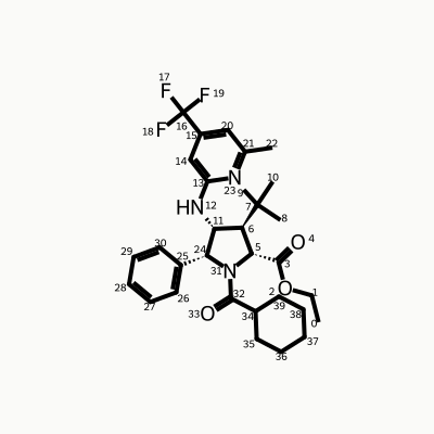 CCOC(=O)[C@H]1[C@H](C(C)(C)C)[C@@H](Nc2cc(C(F)(F)F)cc(C)n2)[C@@H](c2ccccc2)N1C(=O)C1CCCCC1